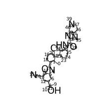 Cc1c(-c2nc3cc(C(C)(C)O)cc(C#N)c3o2)cccc1-c1cccc(NC(=O)c2nc3c(n2C)CCN(C)C3)c1Cl